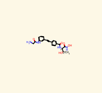 C[C@@H](O)[C@H](NC(=O)c1ccc(C#Cc2cccc(NC(=O)CN)c2)cc1)C(=O)NO